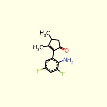 CC1=C(c2cc(F)cc(F)c2N)C(=O)CC1C